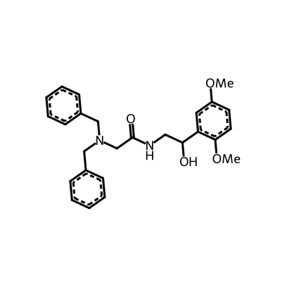 COc1ccc(OC)c(C(O)CNC(=O)CN(Cc2ccccc2)Cc2ccccc2)c1